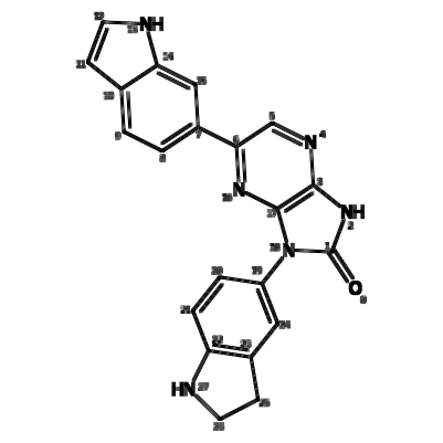 O=c1[nH]c2ncc(-c3ccc4cc[nH]c4c3)nc2n1-c1ccc2c(c1)CCN2